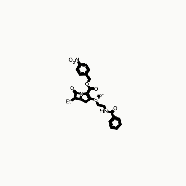 CCC1C(=O)N2C(C(=O)OCc3ccc([N+](=O)[O-])cc3)=C([S+]([O-])CCNC(=O)c3ccccc3)CC12